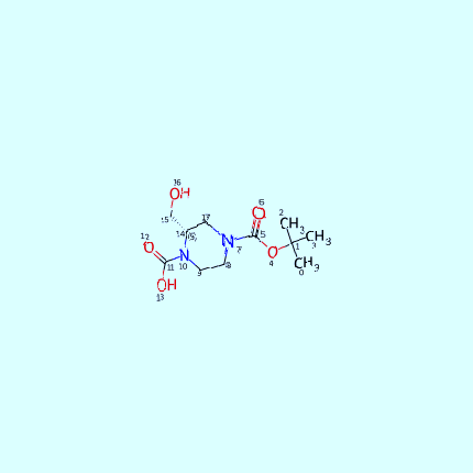 CC(C)(C)OC(=O)N1CCN(C(=O)O)[C@H](CO)C1